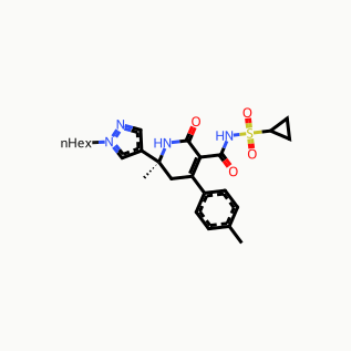 CCCCCCn1cc([C@]2(C)CC(c3ccc(C)cc3)=C(C(=O)NS(=O)(=O)C3CC3)C(=O)N2)cn1